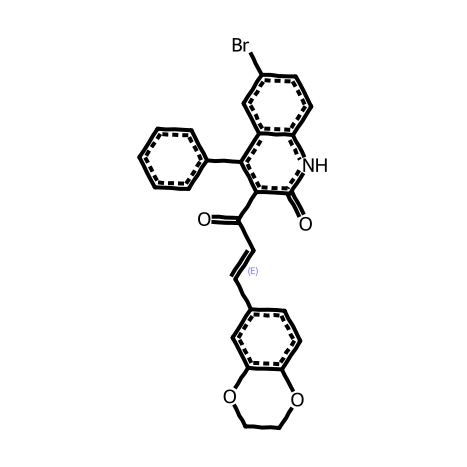 O=C(/C=C/c1ccc2c(c1)OCCO2)c1c(-c2ccccc2)c2cc(Br)ccc2[nH]c1=O